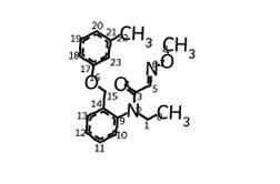 CCN(C(=O)C=NOC)c1ccccc1COc1cccc(C)c1